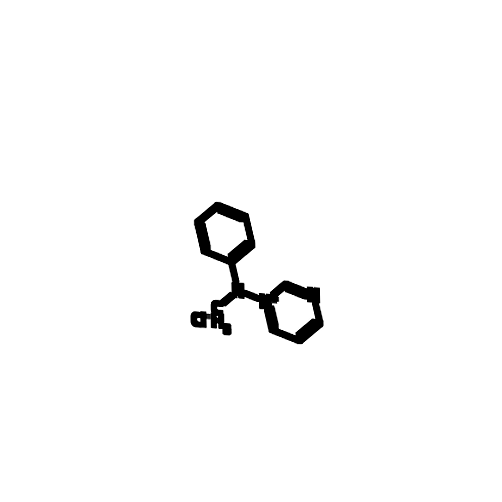 CN(c1ccccc1)[n+]1cccnc1.[Cl-]